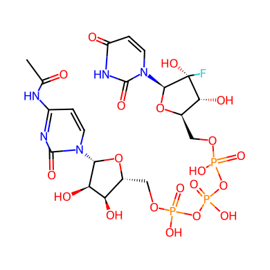 CC(=O)Nc1ccn([C@@H]2O[C@H](COP(=O)(O)OP(=O)(O)OP(=O)(O)OC[C@H]3O[C@@H](n4ccc(=O)[nH]c4=O)[C@@](O)(F)[C@@H]3O)[C@@H](O)[C@H]2O)c(=O)n1